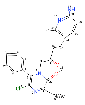 CNc1nc(Cl)c(-c2ccccc2)n(CC(=O)CCc2ccc(N)nc2C)c1=O